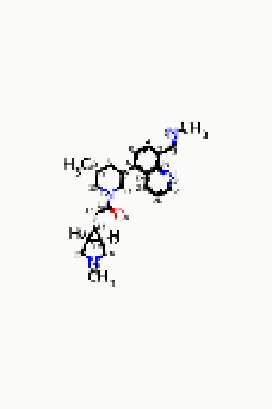 C/N=C/c1ccc([C@@H]2C[C@@H](C)CN(C(=O)C[C@@H]3[C@H]4CN(C)C[C@@H]34)C2)c2cccnc12